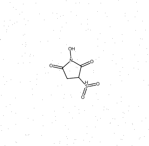 O=C1CC([SH](=O)=O)C(=O)N1O